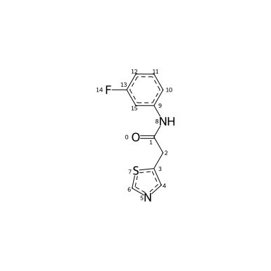 O=C(Cc1cncs1)Nc1cccc(F)c1